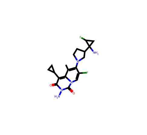 Cc1c(N2CCC(C3(N)CC3F)C2)c(F)cn2c(=O)n(N)c(=O)c(C3CC3)c12